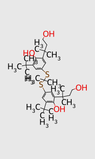 CC(C)(Sc1cc(C(C)(C)C)c(O)c(C(C)(C)CCO)c1)Sc1cc(C(C)(C)C)c(O)c(C(C)(C)CCO)c1